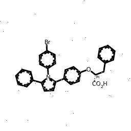 O=C(O)[C@@H](Cc1ccccc1)Oc1ccc(-c2ccc(-c3ccccc3)n2-c2ccc(Br)cc2)cc1